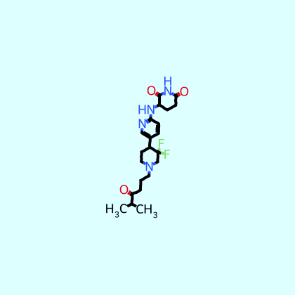 CC(C)C(=O)CCCN1CCC(c2ccc(NC3CCC(=O)NC3=O)nc2)C(F)(F)C1